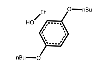 CCCCOc1ccc(OCCCC)cc1.CCO